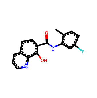 Cc1ccc(F)cc1NC(=O)c1ccc2cccnc2c1O